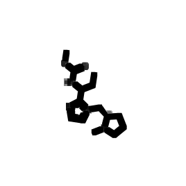 CCC(NC(=O)OC)c1nccn1C[C@H]1CCCN1C